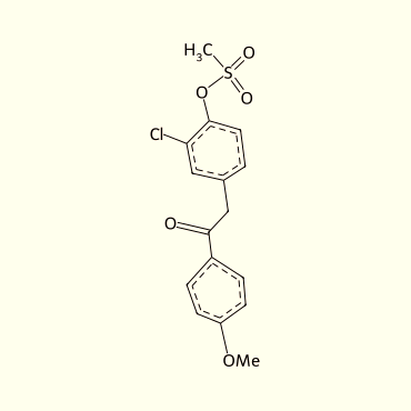 COc1ccc(C(=O)Cc2ccc(OS(C)(=O)=O)c(Cl)c2)cc1